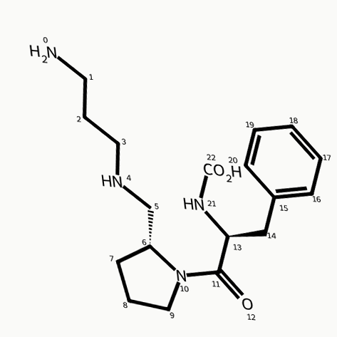 NCCCNC[C@H]1CCCN1C(=O)[C@H](Cc1ccccc1)NC(=O)O